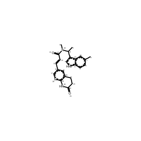 Cc1ccc2[nH]cc(C(C)N(C)C(=O)C=Cc3cnc4c(c3)CCC(=O)N4)c2c1